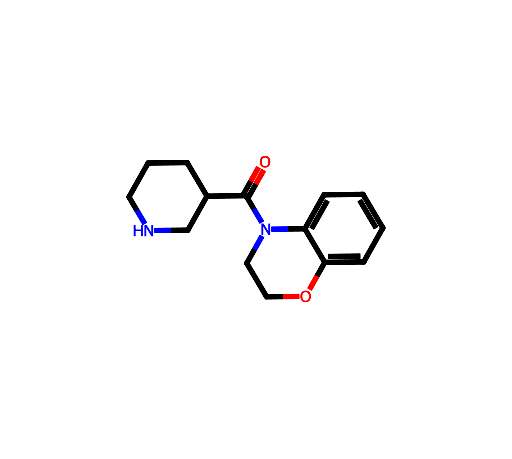 O=C(C1CCCNC1)N1CCOc2ccccc21